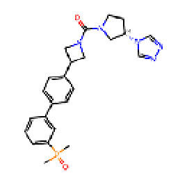 CP(C)(=O)c1cccc(-c2ccc(C3CN(C(=O)N4CC[C@H](n5cnnc5)C4)C3)cc2)c1